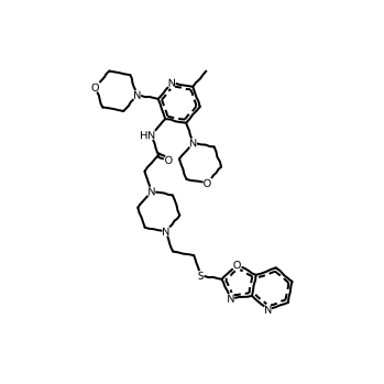 Cc1cc(N2CCOCC2)c(NC(=O)CN2CCN(CCSc3nc4ncccc4o3)CC2)c(N2CCOCC2)n1